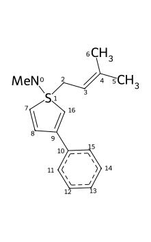 CNS1(CC=C(C)C)C=CC(c2ccccc2)=C1